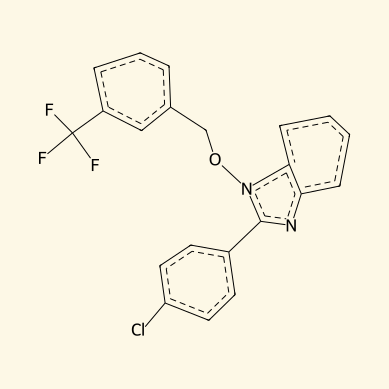 FC(F)(F)c1cccc(COn2c(-c3ccc(Cl)cc3)nc3ccccc32)c1